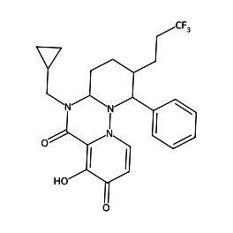 O=C1c2c(O)c(=O)ccn2N2C(c3ccccc3)C(CCC(F)(F)F)CCC2N1CC1CC1